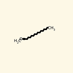 [CH2]OC#CCCCCCCCCCCCCCCC